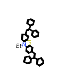 CCN1c2ccc(C=C(c3ccccc3)c3ccccc3)cc2Sc2cc(C=C(c3ccccc3)c3ccccc3)ccc21